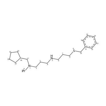 CC(C)N(CCCNCCCSCc1ccccc1)CC1CCCC1